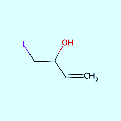 C=CC(O)CI